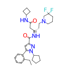 CCc1ccccc1-c1cc(C(=O)N[C@@H](CCN2CCCC(F)(F)C2)CC(=O)NC2CCC2)nn1C1CCCC1